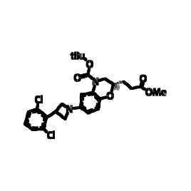 COC(=O)CC[C@H]1CN(C(=O)OC(C)(C)C)c2cc(N3CC(c4c(Cl)cccc4Cl)C3)ccc2O1